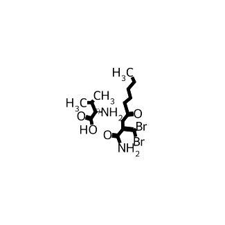 CC(C)[C@H](N)C(=O)O.CCCCCC(=O)CC(C(N)=O)=C(Br)Br